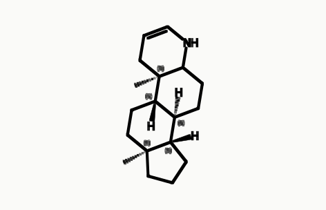 C[C@@]12CCC[C@H]1[C@@H]1CCC3NC=CC[C@]3(C)[C@H]1CC2